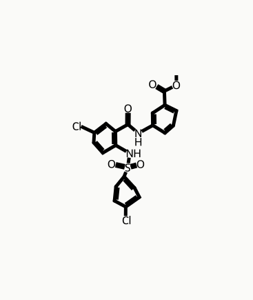 COC(=O)c1cccc(NC(=O)c2cc(Cl)ccc2NS(=O)(=O)c2ccc(Cl)cc2)c1